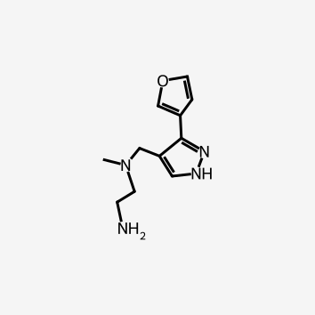 CN(CCN)Cc1c[nH]nc1-c1ccoc1